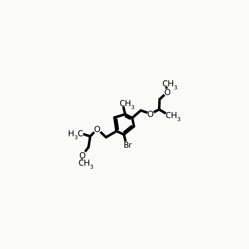 COCC(C)OCc1cc(Br)c(COC(C)COC)cc1C